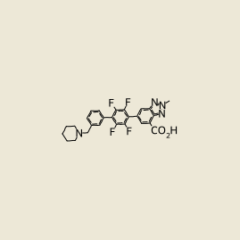 Cn1nc2cc(-c3c(F)c(F)c(-c4cccc(CN5CCCCC5)c4)c(F)c3F)cc(C(=O)O)c2n1